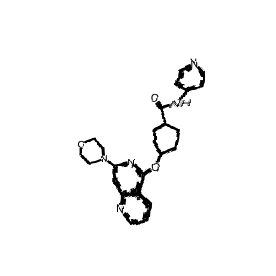 O=C(Nc1ccncc1)C1CCC(Oc2nc(N3CCOCC3)cc3ncccc23)CC1